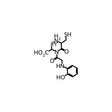 CC(C)C(C(=O)O)N(C(=O)CNc1ccccc1O)C(=O)C(N)CS